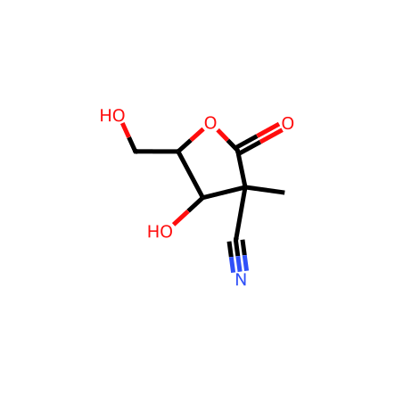 CC1(C#N)C(=O)OC(CO)C1O